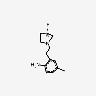 Cc1ccc(N)c(CCN2CC[C@H](F)C2)c1